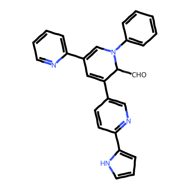 O=CC1C(c2ccc(-c3ccc[nH]3)nc2)=CC(c2ccccn2)=CN1c1ccccc1